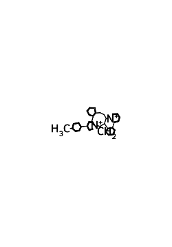 C=C1C2c3ccccc3-c3cccc[n+]3C2CCc2ccccc2-c2cc(-c3ccc(C)cc3)cc[n+]21